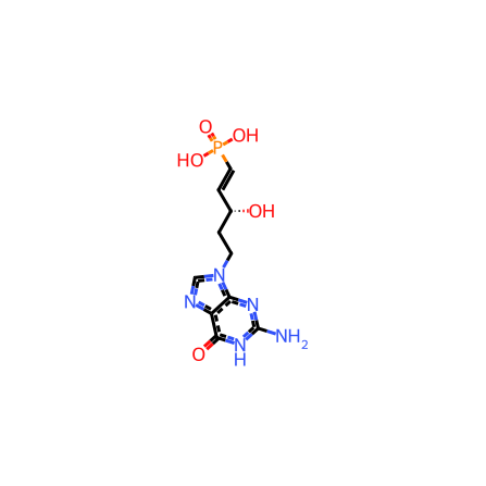 Nc1nc2c(ncn2CC[C@@H](O)/C=C/P(=O)(O)O)c(=O)[nH]1